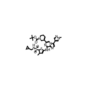 CC1C=C(Nc2nc(C3=CCCN(C(=O)OC(C)(C)C)C3)cn3c(-c4cnn(C)c4)cnc23)SC1S(=O)(=O)NCC1CC1